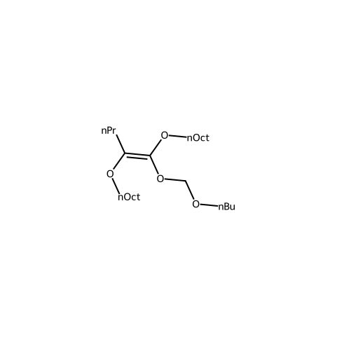 CCCCCCCCOC(CCC)=C(OCCCCCCCC)OCOCCCC